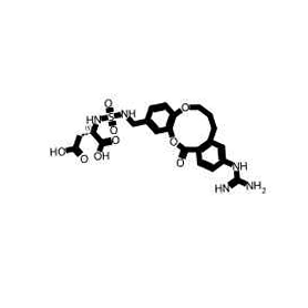 N=C(N)Nc1ccc2c(c1)CCCOc1ccc(CNS(=O)(=O)N[C@@H](CC(=O)O)C(=O)O)cc1OC2=O